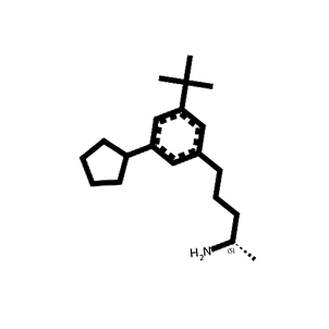 C[C@H](N)CCCc1cc(C2CCCC2)cc(C(C)(C)C)c1